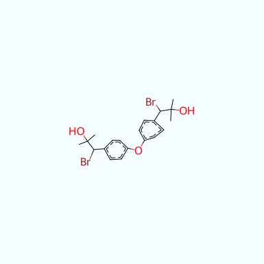 CC(C)(O)C(Br)c1ccc(Oc2ccc(C(Br)C(C)(C)O)cc2)cc1